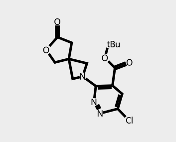 CC(C)(C)OC(=O)c1cc(Cl)nnc1N1CC2(COC(=O)C2)C1